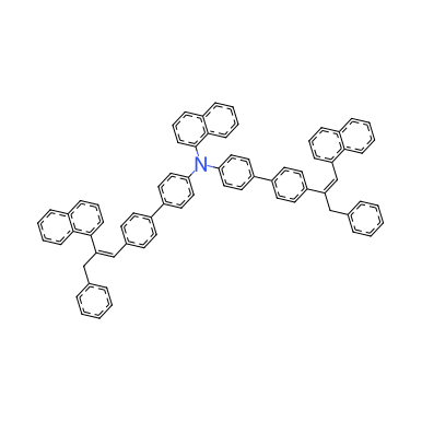 C(=C(\Cc1ccccc1)c1ccc(-c2ccc(N(c3ccc(-c4ccc(/C=C(/Cc5ccccc5)c5cccc6ccccc56)cc4)cc3)c3cccc4ccccc34)cc2)cc1)/c1cccc2ccccc12